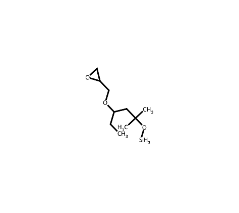 CCC(CC(C)(C)O[SiH3])OCC1CO1